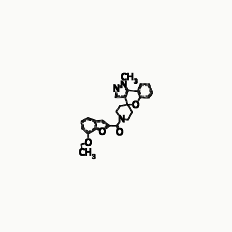 CCOc1cccc2cc(C(=O)N3CCC4(CC3)Oc3ccccc3-c3c4cnn3C)oc12